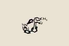 CN1CCN(c2ccc(Nc3ncc4cccc(C5CCCN(C=CC=O)C5)c4n3)cn2)CC1